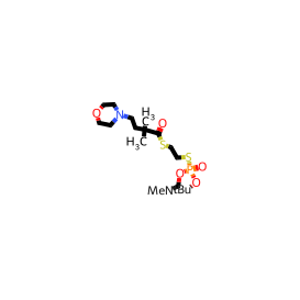 CNCOP(=O)(OC(C)(C)C)SCCSC(=O)C(C)(C)CCN1CCOCC1